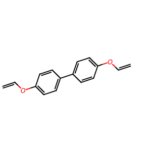 C=COc1ccc(-c2ccc(OC=C)cc2)cc1